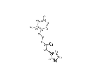 Cc1ccc(CCCC(=O)Cn2ccnc2)c(C)c1